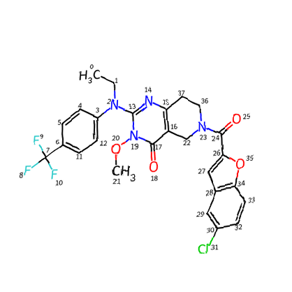 CCN(c1ccc(C(F)(F)F)cc1)c1nc2c(c(=O)n1OC)CN(C(=O)c1cc3cc(Cl)ccc3o1)CC2